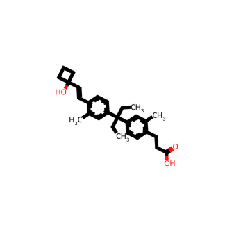 CCC(CC)(c1ccc(C=CC2(O)CCC2)c(C)c1)c1ccc(CCC(=O)O)c(C)c1